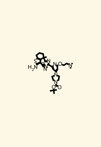 CN(C)CCOc1cc(N2CCN(C(=O)OC(C)(C)C)CC2)cc(-c2noc(C3(C)CCCc4sc(N)c(C#N)c43)n2)n1